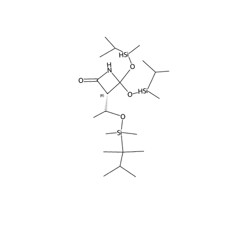 CC(O[Si](C)(C)C(C)(C)C(C)C)[C@@H]1C(=O)NC1(O[SiH](C)C(C)C)O[SiH](C)C(C)C